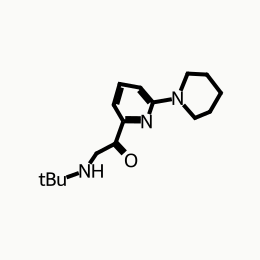 CC(C)(C)NCC(=O)c1cccc(N2CCCCC2)n1